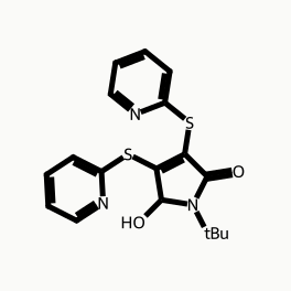 CC(C)(C)N1C(=O)C(Sc2ccccn2)=C(Sc2ccccn2)C1O